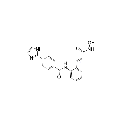 O=C(/C=C/c1ccccc1NC(=O)c1ccc(-c2ncc[nH]2)cc1)NO